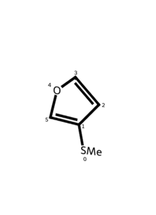 CSc1c[c]oc1